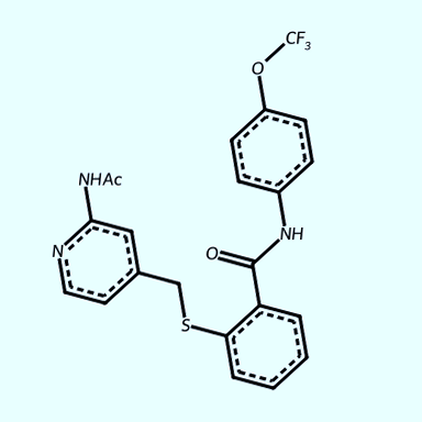 CC(=O)Nc1cc(CSc2ccccc2C(=O)Nc2ccc(OC(F)(F)F)cc2)ccn1